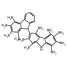 Bc1c(B)c(B)c2c([nH]c3c(B)c(B)c(-n4c5ccccc5c5c(B)c(B)c(B)c(B)c54)c(B)c32)c1B